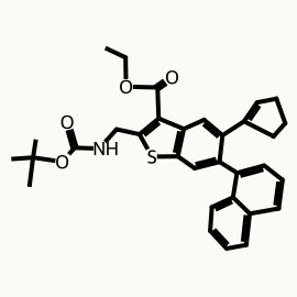 CCOC(=O)c1c(CNC(=O)OC(C)(C)C)sc2cc(-c3cccc4ccccc34)c(C3=CCCC3)cc12